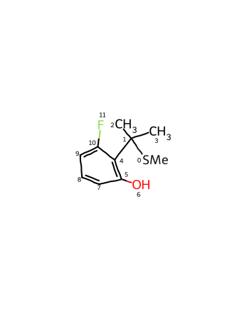 CSC(C)(C)c1c(O)cccc1F